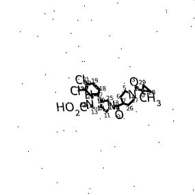 CC1(C(=O)N2CCC(C(=O)N3C[C@H](CNC(=O)O)[C@H](c4ccc(Cl)c(Cl)c4)C3)CC2)CC1